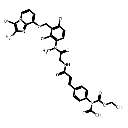 CCOC(=O)N(C(C)=O)c1ccc(C=CC(=O)NCC(=O)N(C)c2ccc(Cl)c(COc3cccn4c(Br)c(C)nc34)c2Cl)cc1